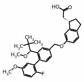 COc1ccc(F)c(-c2ccc(COc3ccc4c(c3)[C@H](CC(=O)O)CC4)cc2[C@@H](OC)C(C)(C)C)c1